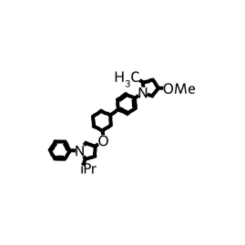 COC1CC(C)N(c2ccc(C3CCCC(OC4CC(C(C)C)N(c5ccccc5)C4)C3)cc2)C1